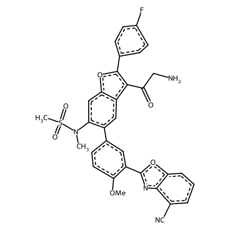 COc1ccc(-c2cc3c(C(=O)CN)c(-c4ccc(F)cc4)oc3cc2N(C)S(C)(=O)=O)cc1-c1nc2c(C#N)cccc2o1